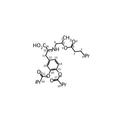 CC(C)CCC(=O)OC(C)CN[C@@H](Cc1ccc(OC(=O)C(C)C)c(OC(=O)C(C)C)c1)C(=O)O